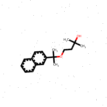 CC(C)(O)CCOC(C)(C)c1ccc2ccccc2c1